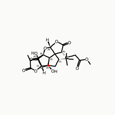 COC(=O)CO[C@H]1C(=O)O[C@H]2O[C@]34C(=O)OC5C[C@@H](C(C)(C)C)C21[C@@]53[C@@H](O)[C@@H]1OC(=O)C(C)[C@@]14O